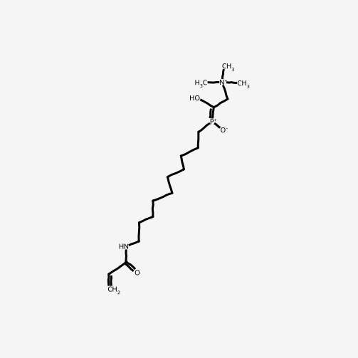 C=CC(=O)NCCCCCCCCCC/[P+]([O-])=C(\O)C[N+](C)(C)C